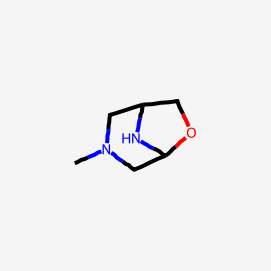 CN1CC2COC(C1)N2